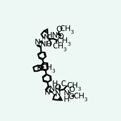 COC(=O)N[C@H](C(=O)N1C2CC2C[C@H]1c1ncc(-c2ccc(-c3ccc(-c4ccc(-c5cnc([C@@H]6CC7CC7N6C(=O)[C@@H](NC(=O)OC)C(C)C)[nH]5)cc4)c4c3C3CCC4N3C)cc2)[nH]1)C(C)C